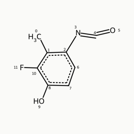 Cc1c(N=C=O)ccc(O)c1F